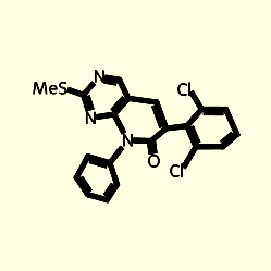 CSc1ncc2cc(-c3c(Cl)cccc3Cl)c(=O)n(-c3ccccc3)c2n1